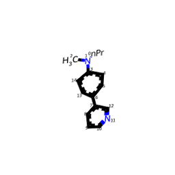 CCCN(C)c1ccc(-c2cccnc2)cc1